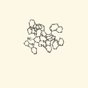 N#Cc1c(-n2c3ccccc3c3ccccc32)c(C#N)c(-n2c3ccccc3c3ccccc32)c(-n2c3cc(-c4cccc5ccccc45)cc(-c4cccc5ccccc45)c3c3ccc4c5ccccc5sc4c32)c1-n1c2ccccc2c2ccccc21